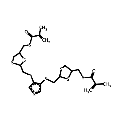 C=C(C)C(=O)SCC1CSC(CSc2cscc2SCC2SCC(CSC(=O)C(=C)C)S2)S1